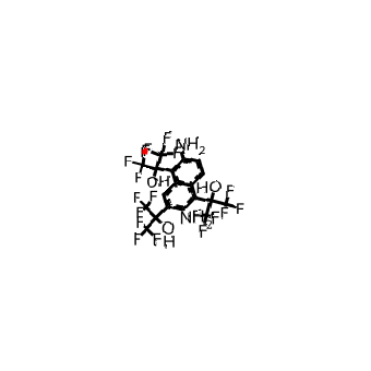 Nc1ccc2c(C(O)(C(F)(F)F)C(F)(F)F)c(N)c(C(O)(C(F)(F)F)C(F)(F)F)cc2c1C(O)(C(F)(F)F)C(F)(F)F